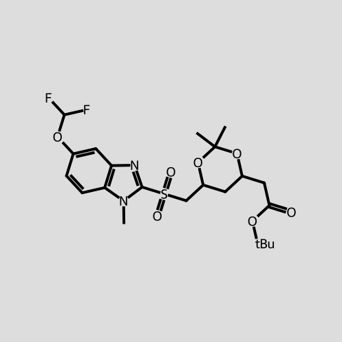 Cn1c(S(=O)(=O)CC2CC(CC(=O)OC(C)(C)C)OC(C)(C)O2)nc2cc(OC(F)F)ccc21